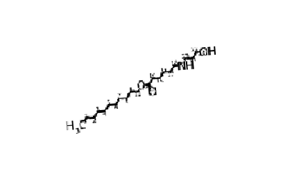 CCCCCCCCCCCOC(=O)CCCCCNCCCO